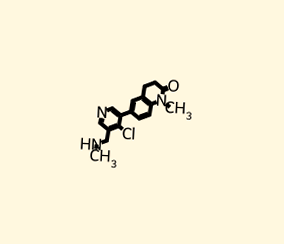 CNCc1cncc(-c2ccc3c(c2)CCC(=O)N3C)c1Cl